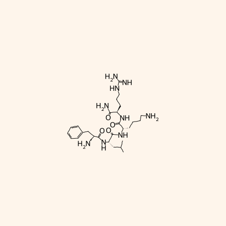 CC(C)C[C@H](NC(=O)[C@@H](N)Cc1ccccc1)C(=O)N[C@@H](CCCCN)C(=O)N[C@H](CCCNC(=N)N)C(N)=O